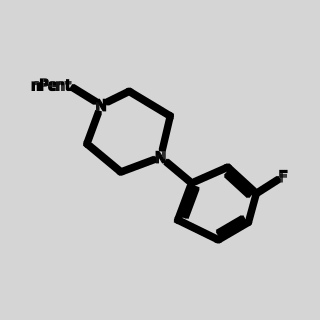 CCCCCN1CCN(c2cccc(F)c2)CC1